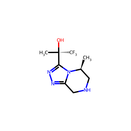 C[C@H]1CNCc2nnc([C@@](C)(O)C(F)(F)F)n21